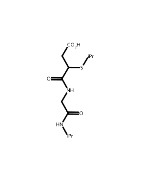 CC(C)NC(=O)CNC(=O)C(CC(=O)O)SC(C)C